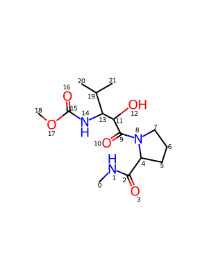 CNC(=O)C1CCCN1C(=O)C(O)C(NC(=O)OC)C(C)C